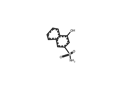 NS(=O)(=O)c1cc(O)c2ccccc2c1